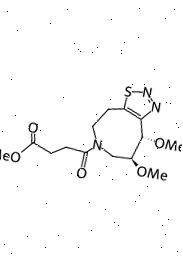 COC(=O)CCC(=O)N1CCc2snnc2[C@H](OC)[C@@H](OC)C1